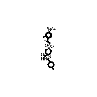 CC(=O)N(C)c1ccc(C(F)=CS(=O)(=O)N2CCC3(CC2)N=C(C2CCC(C)CC2)NC3=O)c(C)c1